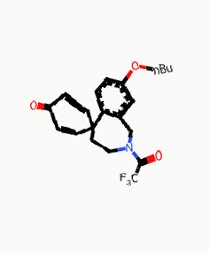 CCCCOc1ccc2c(c1)CN(C(=O)C(F)(F)F)CCC21C=CC(=O)C=C1